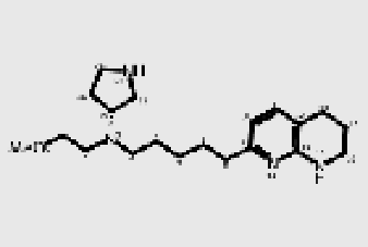 COCCN(CCCCCc1ccc2c(n1)NCCC2)[C@@H]1CCNC1